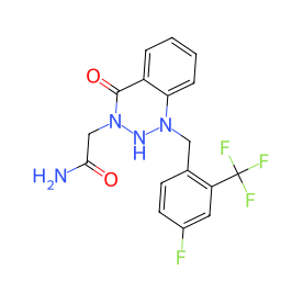 NC(=O)CN1NN(Cc2ccc(F)cc2C(F)(F)F)c2ccccc2C1=O